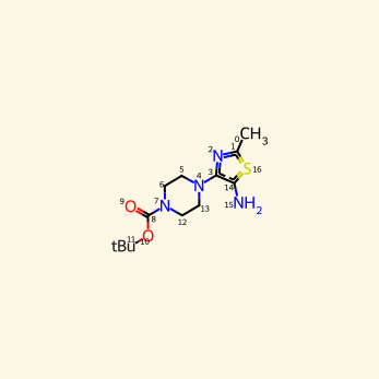 Cc1nc(N2CCN(C(=O)OC(C)(C)C)CC2)c(N)s1